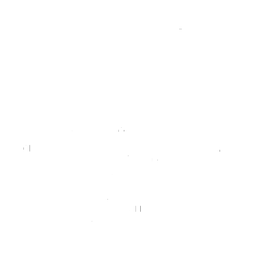 C#CC(OC(=O)C1C(C=C(Cl)Cl)C1(C)C)/C(F)=C/CCF